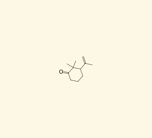 C=C(C)C1CCCC(=O)C1(C)C